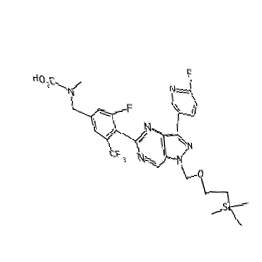 CN(Cc1cc(F)c(-c2ncc3c(n2)c(-c2ccc(F)nc2)nn3COCC[Si](C)(C)C)c(C(F)(F)F)c1)C(=O)O